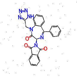 O=C1[C@H](N2C(=O)c3ccccc3C2=O)N=C(c2ccccc2)c2ccccc2N1Cc1nnn[nH]1